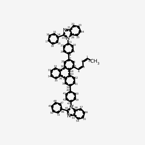 C/C=C\C=C/c1cc(-c2ccc(-n3c(-c4ccccc4)nc4ccccc43)cc2)cc2c3ccccc3c3cc(-c4ccc(-n5c(-c6ccccc6)nc6ccccc65)cc4)ccc3c12